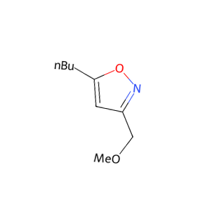 CCCCc1cc(COC)no1